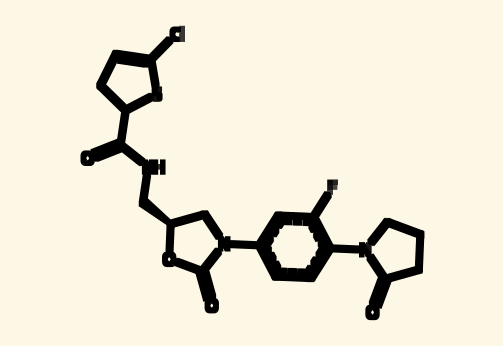 O=C(NC[C@H]1CN(c2ccc(N3CCCC3=O)c(F)c2)C(=O)O1)C1CC=C(Cl)S1